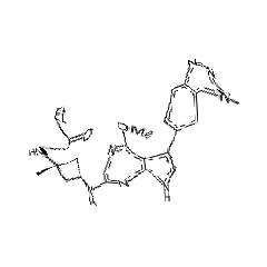 CCC(=O)N[C@]1(C)C[C@@H](Nc2nc(OC)c3c(-c4ccc5nnn(C)c5c4)c[nH]c3n2)C1